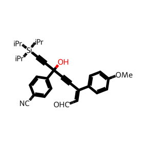 COc1ccc(C(C#CC(O)(C#C[Si](C(C)C)(C(C)C)C(C)C)c2ccc(C#N)cc2)=CC=O)cc1